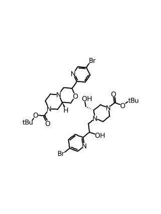 CC(C)(C)OC(=O)N1CCN(CC(O)c2ccc(Br)cn2)[C@H](CO)C1.CC(C)(C)OC(=O)N1CCN2CC(c3ccc(Br)cn3)OC[C@@H]2C1